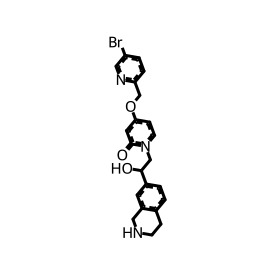 O=c1cc(OCc2ccc(Br)cn2)ccn1CC(O)c1ccc2c(c1)CNCC2